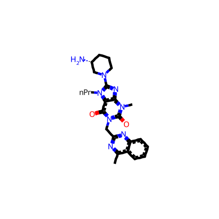 CCCn1c(N2CCC[C@@H](N)C2)nc2c1c(=O)n(Cc1nc(C)c3ccccc3n1)c(=O)n2C